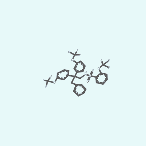 O=S(=O)(NCC(Cc1ccccc1)(c1cccc(OC(F)(F)F)c1)c1cccc(OC(F)(F)F)c1)c1ccccc1OC(F)(F)F